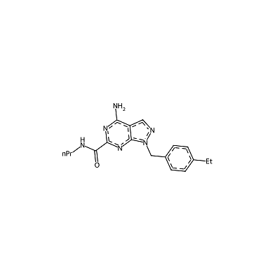 CCCNC(=O)c1nc(N)c2cnn(Cc3ccc(CC)cc3)c2n1